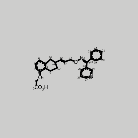 O=C(O)COc1cccc2c1CCC(/C=C/CO/N=C(/c1ccccc1)c1cccnc1)C2